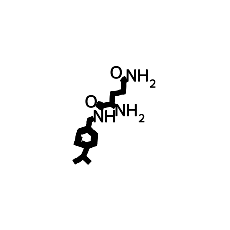 CC(C)c1ccc(CNC(=O)C(N)CCC(N)=O)cc1